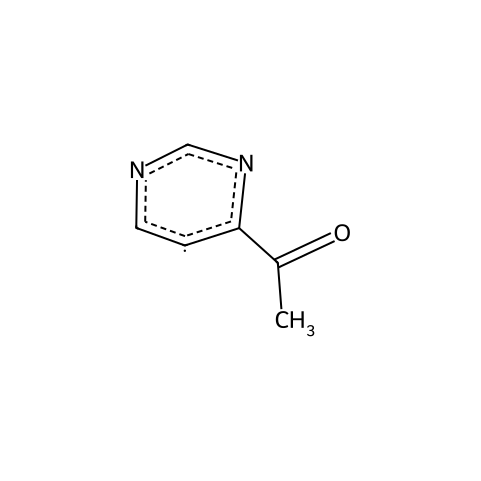 CC(=O)c1[c]cncn1